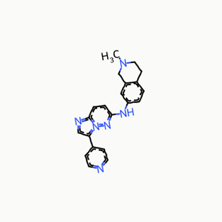 CN1CCc2ccc(Nc3ccc4ncc(-c5ccncc5)n4n3)cc2C1